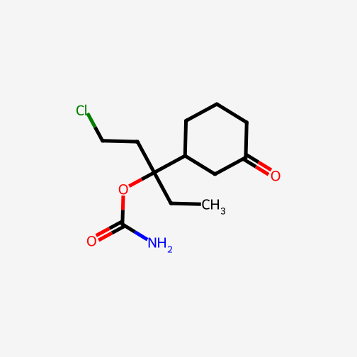 CCC(CCCl)(OC(N)=O)C1CCCC(=O)C1